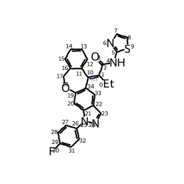 CC/C(C(=O)Nc1nccs1)=C1/c2ccccc2COc2cc3c(cnn3-c3ccc(F)cc3)cc21